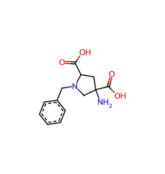 NC1(C(=O)O)CC(C(=O)O)N(Cc2ccccc2)C1